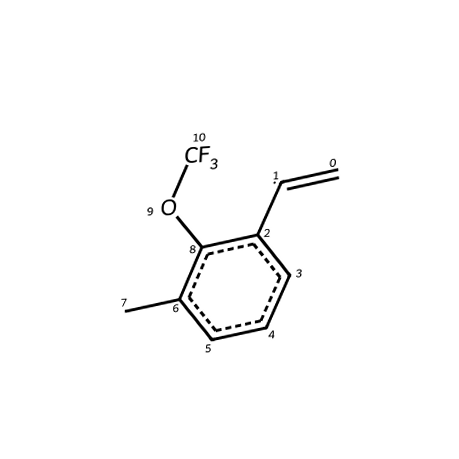 C=[C]c1cccc(C)c1OC(F)(F)F